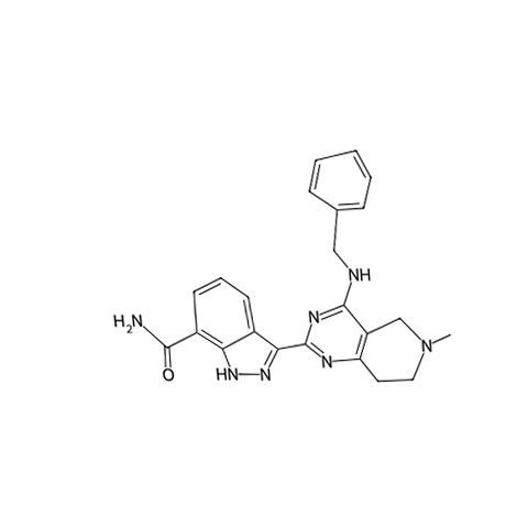 CN1CCc2nc(-c3n[nH]c4c(C(N)=O)cccc34)nc(NCc3ccccc3)c2C1